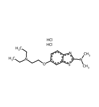 CCN(CC)CCOc1ccc2nc(N(C)C)sc2c1.Cl.Cl